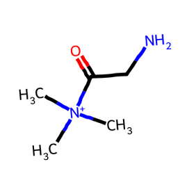 C[N+](C)(C)C(=O)CN